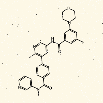 Cc1ncc(NC(=O)c2cc(F)cc(N3CCOCC3)c2)cc1-c1ccc(C(=O)N(C)c2cccnc2)cc1